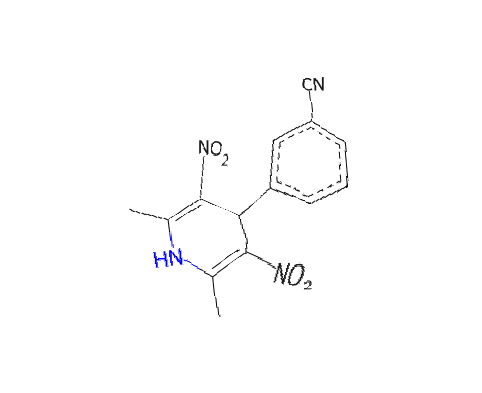 CC1=C([N+](=O)[O-])C(c2cccc(C#N)c2)C([N+](=O)[O-])=C(C)N1